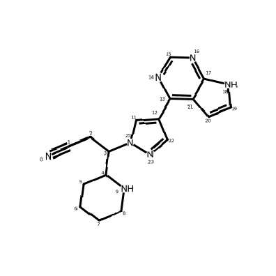 N#CCC(C1CCCCN1)n1cc(-c2ncnc3[nH]ccc23)cn1